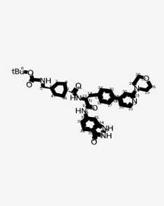 CC(C)(C)OC(=O)NC[C@H]1CC[C@H](C(=O)N[C@@H](Cc2ccc(-c3ccnc(N4CCOCC4)c3)cc2)C(=O)Nc2ccc3c(=O)[nH][nH]c3c2)CC1